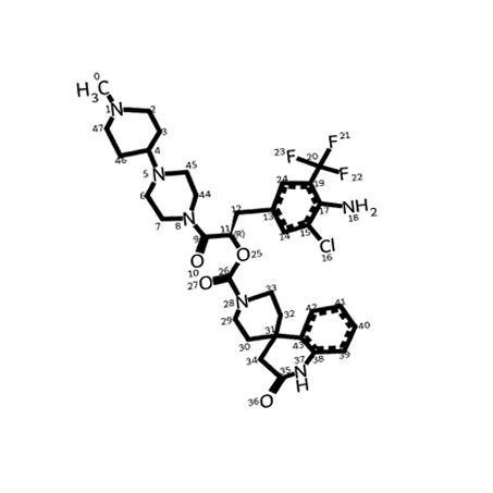 CN1CCC(N2CCN(C(=O)[C@@H](Cc3cc(Cl)c(N)c(C(F)(F)F)c3)OC(=O)N3CCC4(CC3)CC(=O)Nc3ccccc34)CC2)CC1